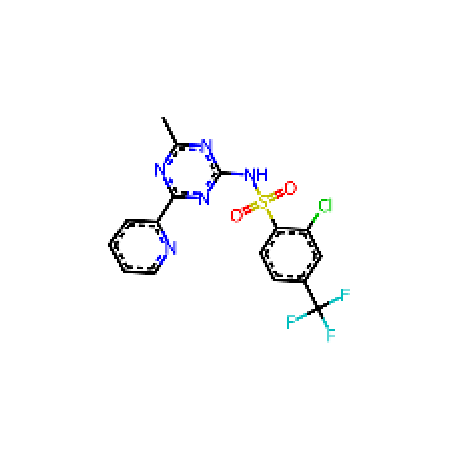 Cc1nc(NS(=O)(=O)c2ccc(C(F)(F)F)cc2Cl)nc(-c2ccccn2)n1